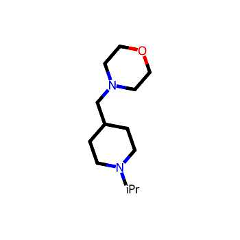 CC(C)N1CCC(CN2CCOCC2)CC1